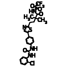 CC(C)(CCc1ncc(-c2ccc(NC(=O)Nc3ccccc3Cl)cc2)s1)C(=O)NS(=O)(=O)C(F)(F)F